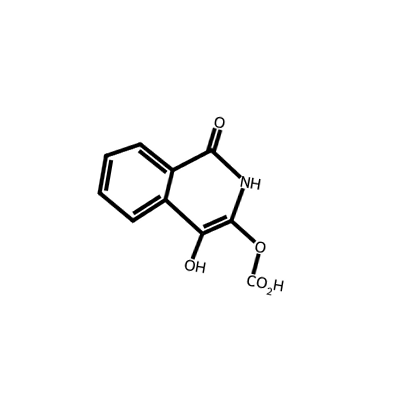 O=C(O)Oc1[nH]c(=O)c2ccccc2c1O